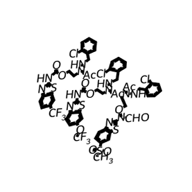 CC(=O)N(CCOC(=O)Nc1nc2ccc(C(F)(F)F)cc2s1)NCc1ccccc1Cl.CC(=O)N(CCOC(=O)Nc1nc2ccc(OC(F)(F)F)cc2s1)NCc1ccccc1Cl.CC(=O)N(CCON(C=O)c1nc2ccc(S(C)(=O)=O)cc2s1)NCc1ccccc1Cl